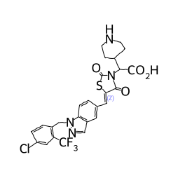 O=C(O)C(C1CCNCC1)N1C(=O)S/C(=C\c2ccc3c(cnn3Cc3ccc(Cl)cc3C(F)(F)F)c2)C1=O